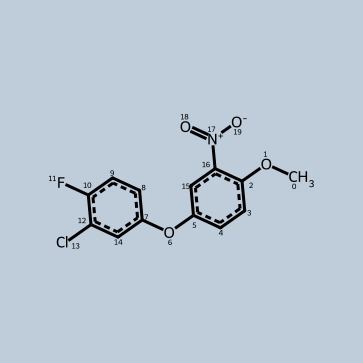 COc1ccc(Oc2ccc(F)c(Cl)c2)cc1[N+](=O)[O-]